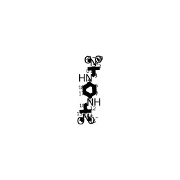 CC(C)(CNc1ccc(NCC(C)(C)[N+](=O)[O-])cc1)[N+](=O)[O-]